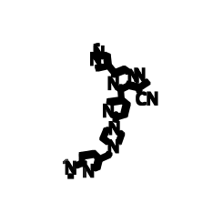 CN(C)c1ccc(CN2CCN(c3ccc(-c4nc(-c5cnn(C)c5)cn5ncc(C#N)c45)cn3)CC2)cn1